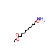 CCOC(=O)CCCCCCCCCCON